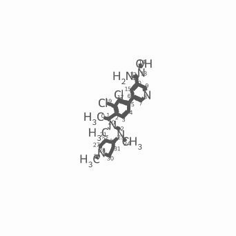 CC(c1ccc(-c2cncc(/C(N)=N/O)c2)c(Cl)c1Cl)N(C)CN(C)C1CCN(C)CC1